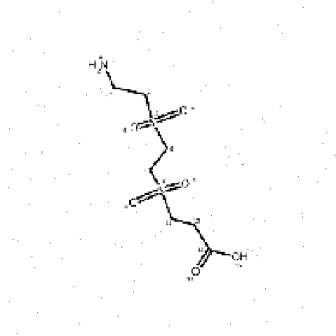 NCCS(=O)(=O)CCS(=O)(=O)CCC(=O)O